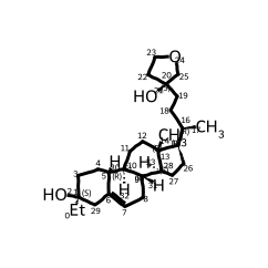 CC[C@]1(O)CC[C@H]2C(=CC[C@@H]3[C@@H]2CC[C@]2(C)[C@@H]([C@H](C)CC[C@]4(O)CCOC4)CC[C@@H]32)C1